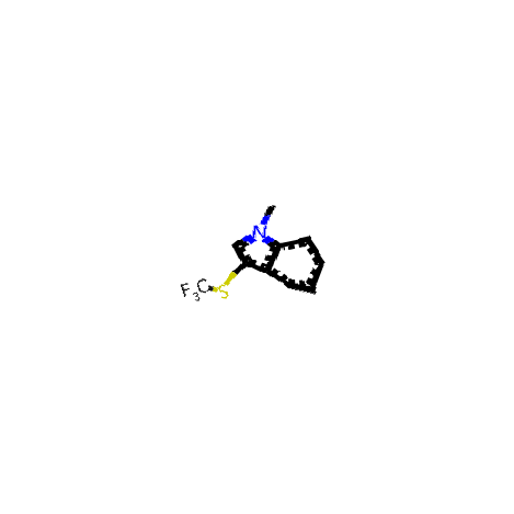 Cn1cc(SC(F)(F)F)c2ccccc21